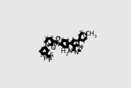 CN1CCC(n2cc(-c3ccc(NC(=O)c4cccn(-c5cccc(C(F)(F)F)c5)c4=O)cc3)c3c(N)ncnc32)CC1